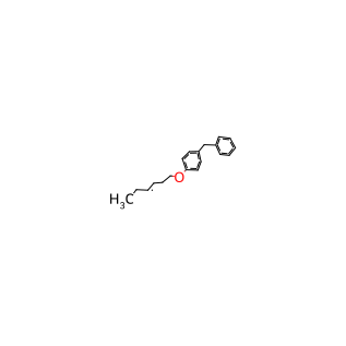 CC[CH]CCCOc1ccc(Cc2ccccc2)cc1